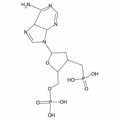 NC1=NC=NC2C1N=CN2C1CC(CP(=O)(O)O)C(COP(=O)(O)O)O1